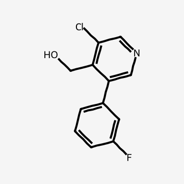 OCc1c(Cl)cncc1-c1cccc(F)c1